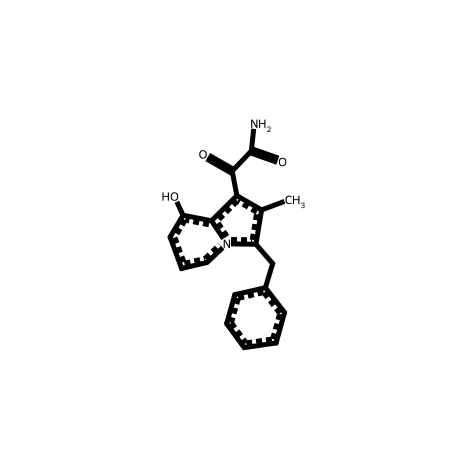 Cc1c(C(=O)C(N)=O)c2c(O)cccn2c1Cc1ccccc1